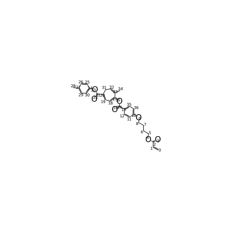 C=CC(=O)OCCCCOc1ccc(C(=O)OC2=CC=C(C(=O)Oc3ccc(C)cc3)CC=C2C)cc1